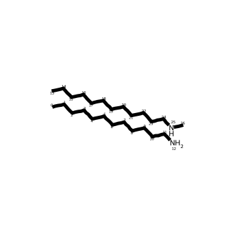 CCCCCCCCCCCCN.CCCCCCCCCCCCNC